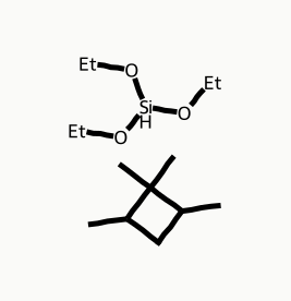 CC1CC(C)C1(C)C.CCO[SiH](OCC)OCC